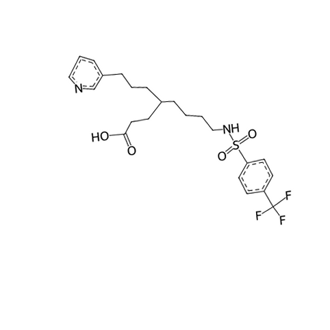 O=C(O)CCC(CCCCNS(=O)(=O)c1ccc(C(F)(F)F)cc1)CCCc1cccnc1